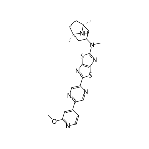 COc1cc(-c2cnc(-c3nc4sc(N(C)C5C[C@]6(C)CC[C@](C)(C5)N6)nc4s3)cn2)ccn1